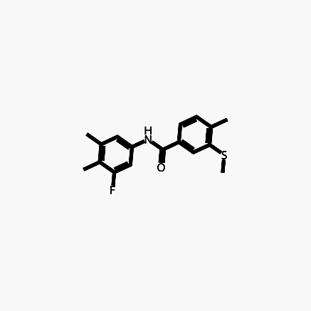 CSc1cc(C(=O)Nc2cc(C)c(C)c(F)c2)ccc1C